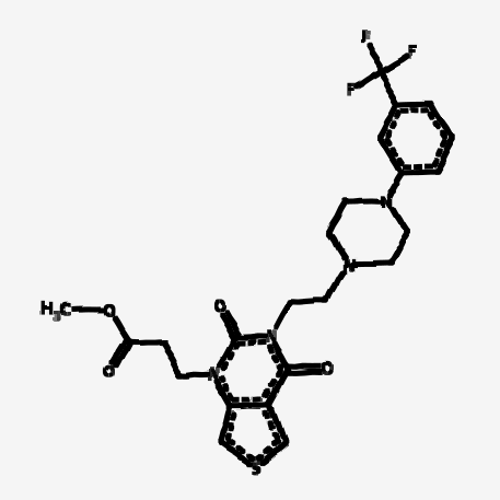 COC(=O)CCn1c(=O)n(CCN2CCN(c3cccc(C(F)(F)F)c3)CC2)c(=O)c2cscc21